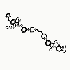 COc1cc(Cn2cccn2)cc2onc(NSc3cccc(N4CCN(CCCC5CCN(c6ccc7c(c6)C(=O)N(C6CCC(=O)NC6=O)C7=O)CC5)CC4)c3)c12